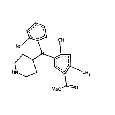 COC(=O)c1cc(N(c2ccccc2C#N)C2CCNCC2)c(C#N)cc1C